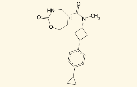 CN(C(=O)[C@@H]1CCOC(=O)NC1)[C@H]1C[C@@H](c2ccc(C3CC3)cc2)C1